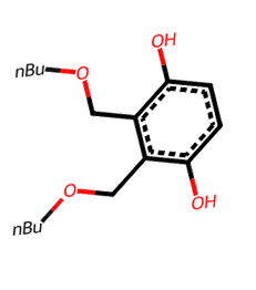 CCCCOCc1c(O)ccc(O)c1COCCCC